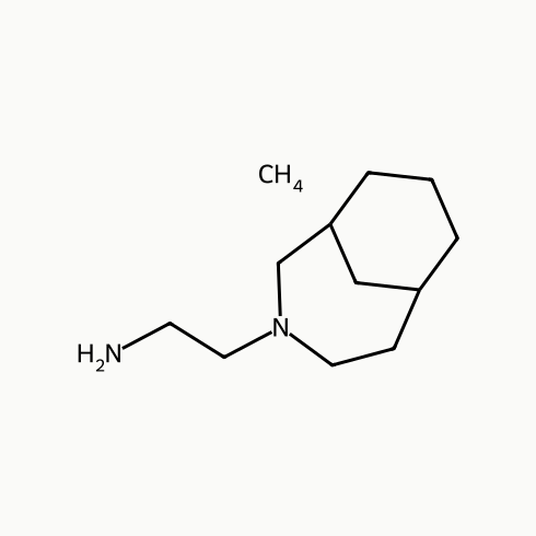 C.NCCN1CCC2CCCC(C2)C1